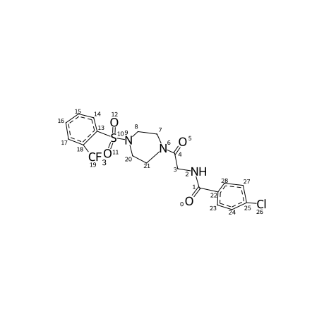 O=C(NCC(=O)N1CCN(S(=O)(=O)c2ccccc2C(F)(F)F)CC1)c1ccc(Cl)cc1